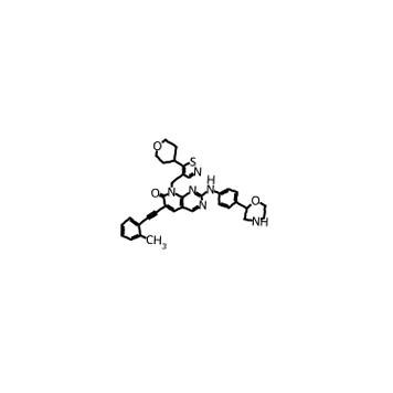 Cc1ccccc1C#Cc1cc2cnc(Nc3ccc(C4CNCCO4)cc3)nc2n(Cc2cnsc2C2CCOCC2)c1=O